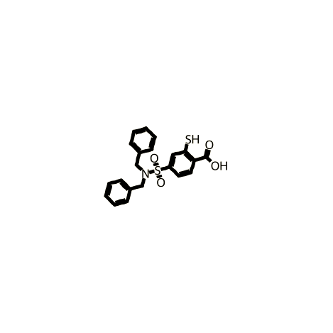 O=C(O)c1ccc(S(=O)(=O)N(Cc2ccccc2)Cc2ccccc2)cc1S